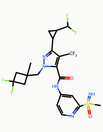 CC1(Cn2nc(C3CC3C(F)F)c(C(F)(F)F)c2C(=O)Nc2ccnc(S(C)(=N)=O)c2)CC(F)(F)C1